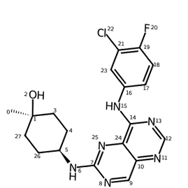 C[C@]1(O)CC[C@@H](Nc2ncc3ncnc(Nc4ccc(F)c(Cl)c4)c3n2)CC1